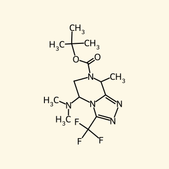 CC1c2nnc(C(F)(F)F)n2C(N(C)C)CN1C(=O)OC(C)(C)C